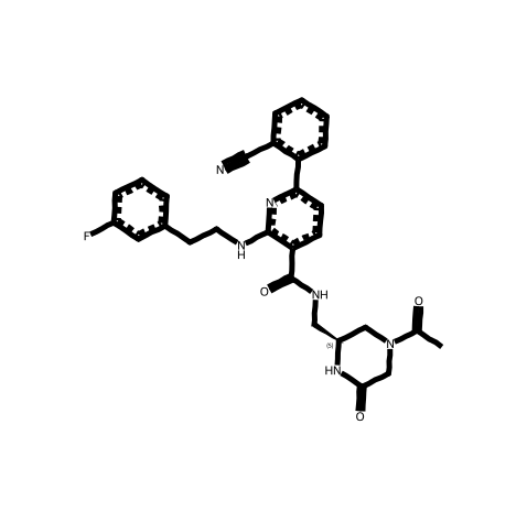 CC(=O)N1CC(=O)N[C@@H](CNC(=O)c2ccc(-c3ccccc3C#N)nc2NCCc2cccc(F)c2)C1